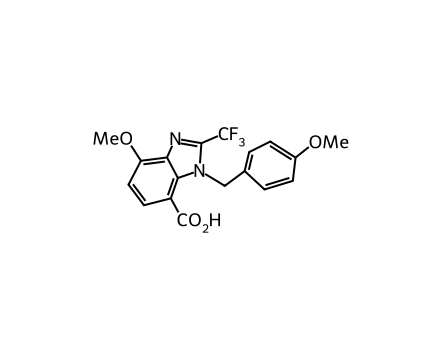 COc1ccc(Cn2c(C(F)(F)F)nc3c(OC)ccc(C(=O)O)c32)cc1